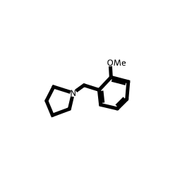 COc1ccccc1CN1CCCC1